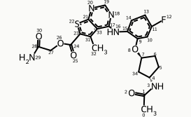 CC(=O)N[C@H]1CC[C@H](Oc2cc(F)ccc2Nc2ncnc3sc(C(=O)OCC(N)=O)c(C)c23)C1